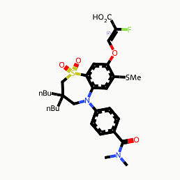 CCCCC1(CCCC)CN(c2ccc(C(=O)N(C)C)cc2)c2cc(SC)c(O/C=C(\F)C(=O)O)cc2S(=O)(=O)C1